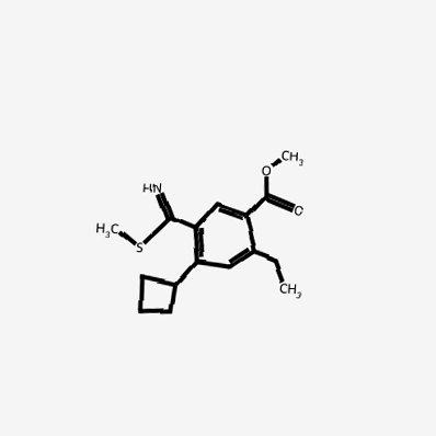 CCc1cc(C2CCC2)c(C(=N)SC)cc1C(=O)OC